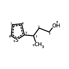 CC(CCO)c1cccs1